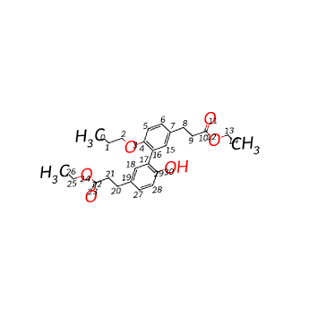 CCCOc1ccc(CCC(=O)OCC)cc1-c1cc(CCC(=O)OCC)ccc1O